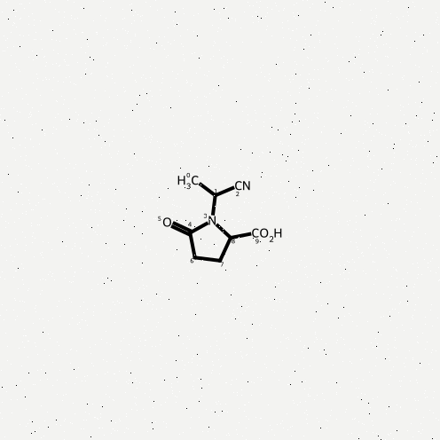 CC(C#N)N1C(=O)CCC1C(=O)O